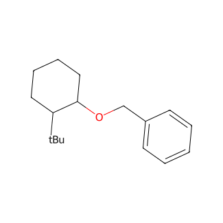 CC(C)(C)C1CCCCC1OCc1ccccc1